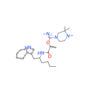 C=C(O/C(=N\C)N1CCN(C)C(C)(C)C1)C(=O)NC(CCCC)Cc1c[nH]c2ccccc12